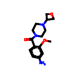 COc1cc(N)ccc1C(=O)N1CCN(C2COC2)CC1